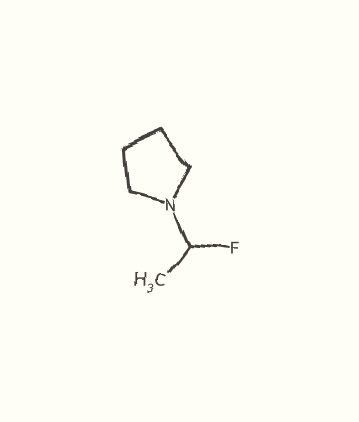 CC(F)N1CCCC1